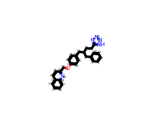 c1ccc(CC(CCc2nnn[nH]2)Cc2ccc(OCc3ccc4ccccc4n3)cc2)cc1